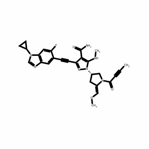 CC#CC(=O)N1C[C@@H](n2nc(C#Cc3cc4ncn(C5CC5)c4cc3F)c(C(N)=O)c2NC)C/C1=C\OC